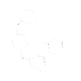 O=C1CCN(c2cc(C(=O)N3CCC(O[C@@H]4CCNC[C@H]4F)CC3)ccc2Cl)C(=O)N1